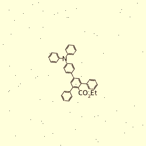 CCOC(=O)c1c(-c2ccccc2)cc(-c2ccc(N(c3ccccc3)c3ccccc3)cc2)cc1-c1ccccc1